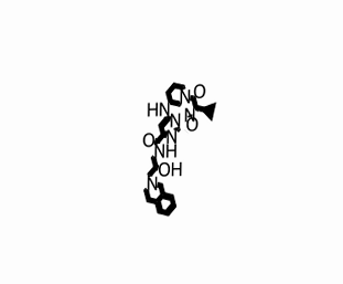 CON=C(C(=O)N1CCCC(Nc2cc(C(=O)NCC(O)CN3CCc4ccccc4C3)ncn2)C1)C1CC1